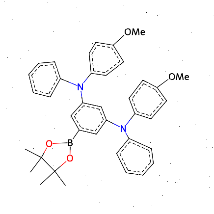 COc1ccc(N(c2ccccc2)c2cc(B3OC(C)(C)C(C)(C)O3)cc(N(c3ccccc3)c3ccc(OC)cc3)c2)cc1